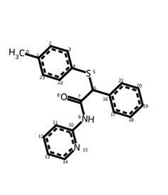 Cc1ccc(SC(C(=O)Nc2ccccn2)c2ccccc2)cc1